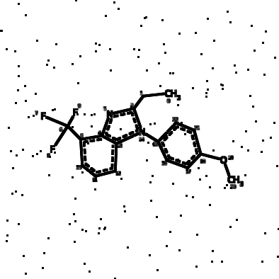 CCc1nc2c(C(F)(F)F)cccc2n1-c1ccc(OC)cc1